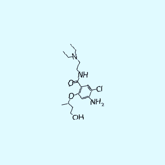 CCN(CC)CCNC(=O)c1cc(Cl)c(N)cc1OC(C)CCO